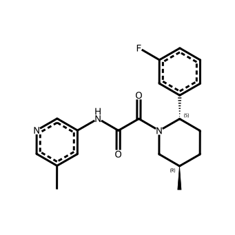 Cc1cncc(NC(=O)C(=O)N2C[C@H](C)CC[C@H]2c2cccc(F)c2)c1